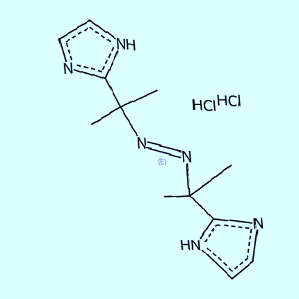 CC(C)(/N=N/C(C)(C)c1ncc[nH]1)c1ncc[nH]1.Cl.Cl